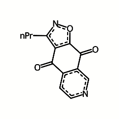 CCCc1noc2c1C(=O)c1ccncc1C2=O